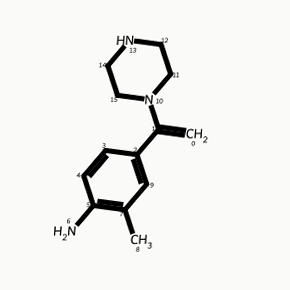 C=C(c1ccc(N)c(C)c1)N1CCNCC1